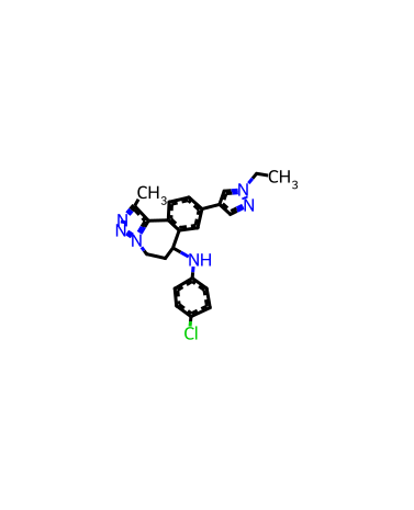 CCn1cc(-c2ccc3c(c2)C(Nc2ccc(Cl)cc2)CCn2nnc(C)c2-3)cn1